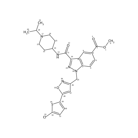 COC(=O)c1ccc2c(c1)c(C(=O)NC1CCN(C(C)C)CC1)nn2Cc1cc(-c2ccc(Cl)s2)on1